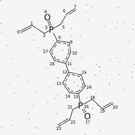 C=CCP(=O)(CC=C)c1ccc(-c2ccc(P(=O)(CC=C)CC=C)cc2)cc1